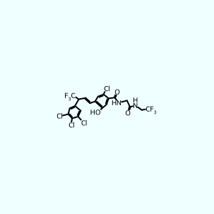 O=C(CNC(=O)c1cc(O)c(C=CC(c2cc(Cl)c(Cl)c(Cl)c2)C(F)(F)F)cc1Cl)NCC(F)(F)F